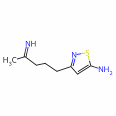 CC(=N)CCCc1cc(N)sn1